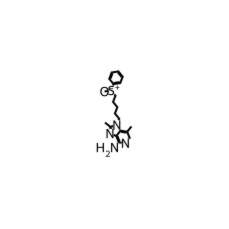 Cc1cnc(N)c2nc(C)n(CCCCC[S+]([O-])c3ccccc3)c12